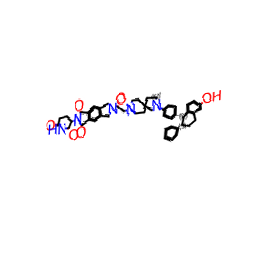 C[C@H]1CC2(CCN(CC(=O)N3Cc4cc5c(cc4C3)C(=O)N(C3CCC(=O)NC3=O)C5=O)CC2)CN1c1ccc([C@@H]2c3ccc(O)cc3CC[C@@H]2c2ccccc2)cc1